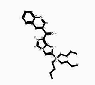 CCC[CH2][Sn]([CH2]CCC)([CH2]CCC)[c]1cn2cnc(C(=O)c3cnc4ccccc4c3)c2s1